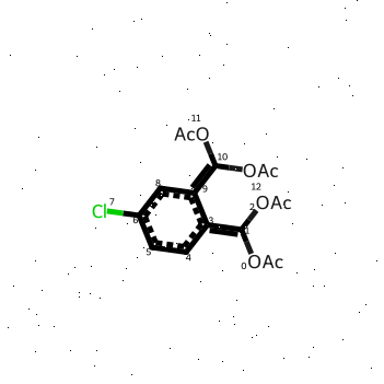 CC(=O)OC(OC(C)=O)=c1ccc(Cl)cc1=C(OC(C)=O)OC(C)=O